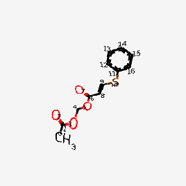 CC(=O)OCOC(=O)C=CSc1ccccc1